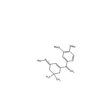 C=C(C1=C/C(=N/O)CC(C)(C)C1)c1ccc(OC)c(OC)c1